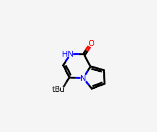 CC(C)(C)c1c[nH]c(=O)c2cccn12